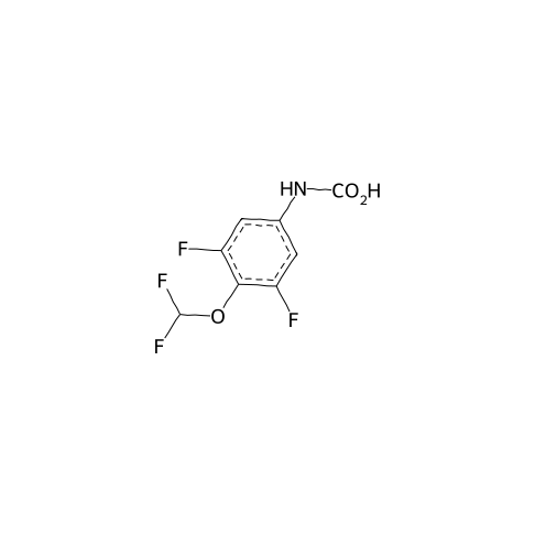 O=C(O)Nc1cc(F)c(OC(F)F)c(F)c1